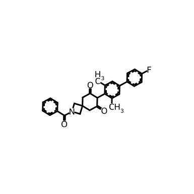 Cc1cc(-c2ccc(F)cc2)cc(C)c1C1C(=O)CC2(CC1=O)CN(C(=O)c1ccccc1)C2